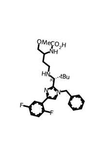 COCC(CCN[C@@H](c1nc(-c2cc(F)ccc2F)cn1Cc1ccccc1)C(C)(C)C)NC(=O)O